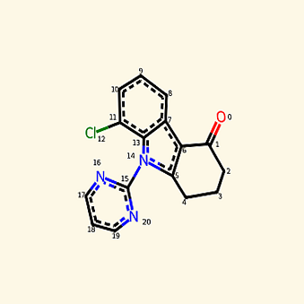 O=C1CCCc2c1c1cccc(Cl)c1n2-c1ncccn1